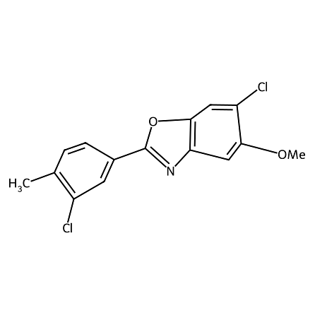 COc1cc2nc(-c3ccc(C)c(Cl)c3)oc2cc1Cl